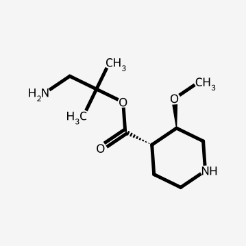 CO[C@H]1CNCC[C@@H]1C(=O)OC(C)(C)CN